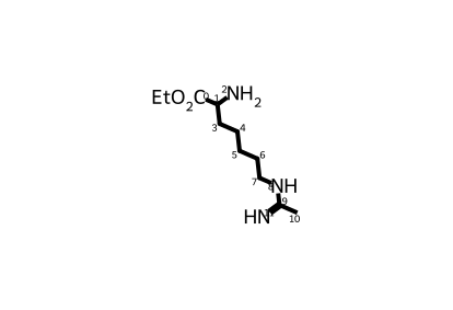 CCOC(=O)C(N)CCCCCNC(C)=N